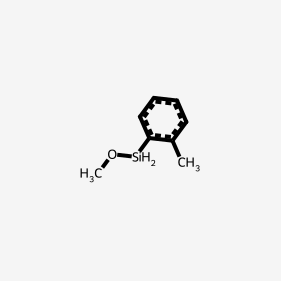 CO[SiH2]c1ccccc1C